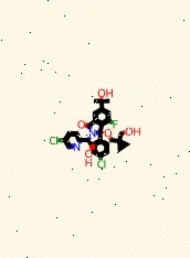 CC(C)(O)c1cc(F)c2c(c1)C(=O)N(C(CO)c1ccc(Cl)cn1)[C@@]2(OCC1(CO)CC1)c1ccc(Cl)cc1